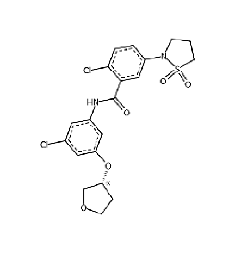 O=C(Nc1cc(Cl)cc(O[C@@H]2CCOC2)c1)c1cc(N2CCCS2(=O)=O)ccc1Cl